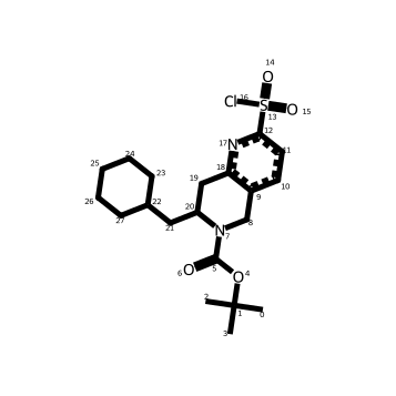 CC(C)(C)OC(=O)N1Cc2ccc(S(=O)(=O)Cl)nc2CC1CC1CCCCC1